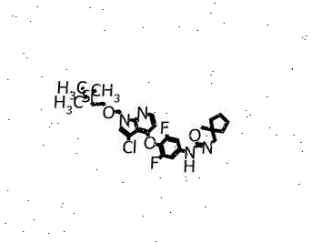 C[Si](C)(C)CCOCn1cc(Cl)c2c(Oc3c(F)cc(NC4=NCC5(CCCC5)CO4)cc3F)ccnc21